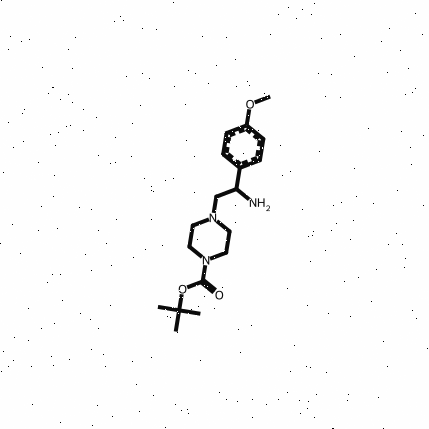 COc1ccc(C(N)CN2CCN(C(=O)OC(C)(C)C)CC2)cc1